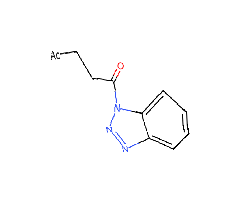 CC(=O)CCC(=O)n1nnc2ccccc21